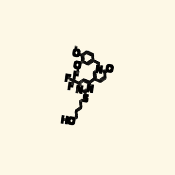 COc1ccc(Cn2cc(-c3cc(C(F)(F)F)nc(SCCCCO)n3)ccc2=O)cc1OC